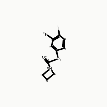 O=C(Oc1ccc(I)c(F)c1)N1CCC1